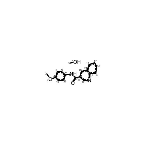 CO.COc1ccc(NC(=O)c2cnc3ccccc3c2)cc1